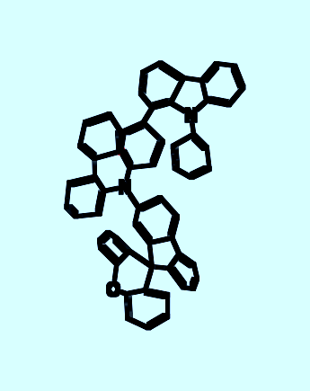 c1ccc(-c2ccccc2N(c2ccc(-c3cccc4c5ccccc5n(-c5ccccc5)c34)cc2)c2ccc3c(c2)C2(c4ccccc4Oc4ccccc42)c2ccccc2-3)cc1